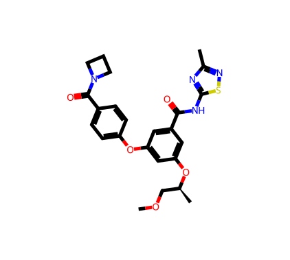 COC[C@H](C)Oc1cc(Oc2ccc(C(=O)N3CCC3)cc2)cc(C(=O)Nc2nc(C)ns2)c1